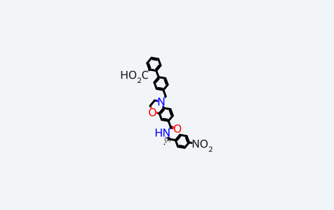 C[C@H](NC(=O)c1ccc2c(c1)OCCN2Cc1ccc(-c2ccccc2C(=O)O)cc1)c1ccc([N+](=O)[O-])cc1